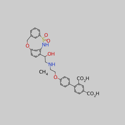 C.O=C(O)c1ccc(-c2ccc(OCCNCC(O)c3ccc4cc3NS(=O)(=O)c3cccc(c3)CO4)cc2)c(C(=O)O)c1